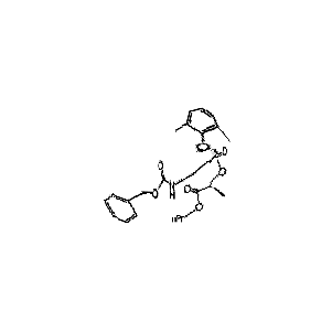 CCCOC(=O)[C@H](C)OP(=O)(CCNC(=O)OCc1ccccc1)Oc1c(C)cccc1C